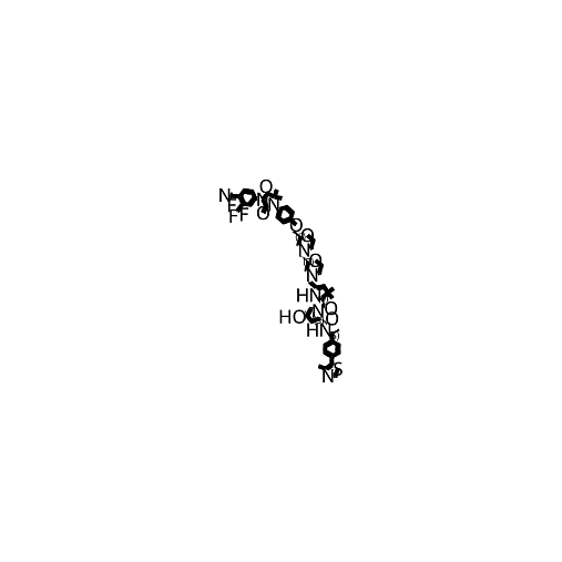 Cc1ncsc1-c1ccc([C@H](C)NC(=O)[C@@H]2C[C@@H](O)CN2C(=O)[C@H]2NC(CN3CCO[C@@H](CN4CCO[C@H](COc5ccc(N6C(=O)N(c7ccc(C#N)c(C(F)(F)F)c7)C(=O)C6(C)C)cc5)C4)C3)=CC2(C)C)cc1